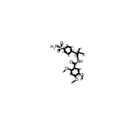 COc1cc(OC)c(C(=O)NC2C(c3ccc(S(N)(=O)=O)cc3)C2(C)C)cc1OC